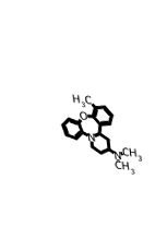 Cc1cccc2c1Oc1ccccc1N1CCC(N(C)C)CC21